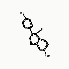 Oc1ccc(-c2ccc3cc(O)ccc3c2Br)cc1